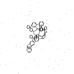 CC12CC3(Cc4cc(ccc4-c4cccc[n+]43)C(=O)O1)C(OC(=O)c1ccc3c(c1)C[n+]1ccccc1-3)CC1CC23C[n+]2ccccc2-c2ccc(cc23)C(=O)O1